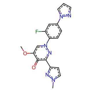 COc1cn(-c2ccc(-n3cccn3)cc2F)nc(-c2ccn(C)n2)c1=O